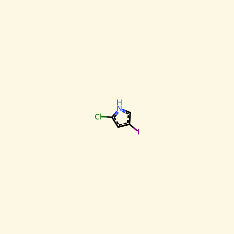 Clc1cc(I)c[nH]1